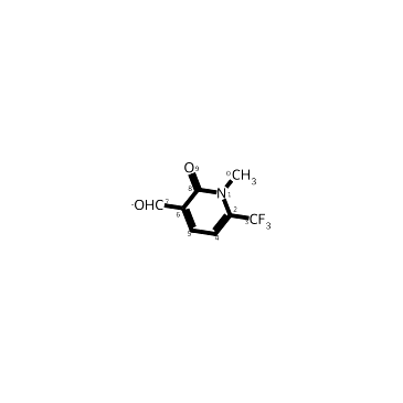 Cn1c(C(F)(F)F)ccc([C]=O)c1=O